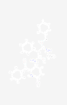 O=CNC(OCc1ccccc1)C(C(=O)Nc1ccc(Cl)nc1C(=O)c1ccccc1)c1ccccc1